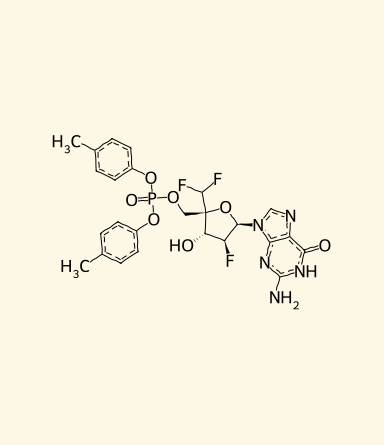 Cc1ccc(OP(=O)(OC[C@@]2(C(F)F)O[C@@H](n3cnc4c(=O)[nH]c(N)nc43)[C@@H](F)[C@@H]2O)Oc2ccc(C)cc2)cc1